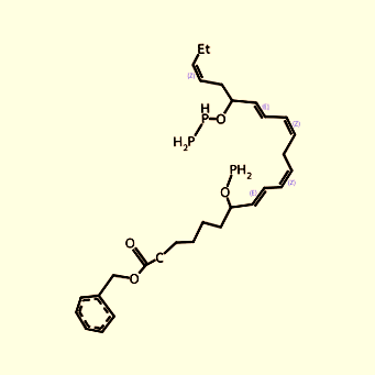 CC/C=C\CC(/C=C/C=C\C/C=C\C=C\C(CCCCCC(=O)OCc1ccccc1)OP)OPP